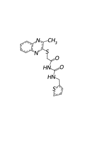 Cc1nc2ccccc2nc1SCC(=O)NC(=O)NCc1cccs1